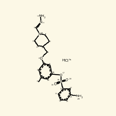 Cc1cc(OCC2CCN(C=NN)CC2)cc(OS(=O)(=O)c2cccc(N)c2)c1.Cl